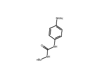 CCCCNC(=O)Nc1ccc(NC(C)=O)cc1